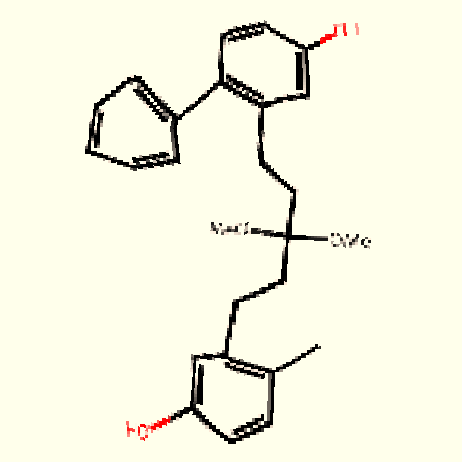 COC(CCc1cc(O)ccc1C)(CCc1cc(O)ccc1-c1ccccc1)OC